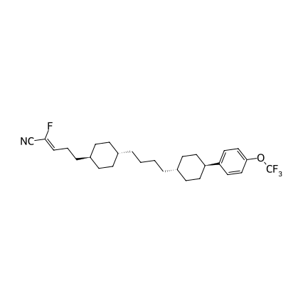 N#CC(F)=CCC[C@H]1CC[C@H](CCCC[C@H]2CC[C@H](c3ccc(OC(F)(F)F)cc3)CC2)CC1